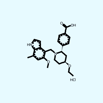 CCO[C@H]1CCN(Cc2c(OC)cc(C)c3[nH]ccc23)[C@H](c2ccc(C(=O)O)cc2)C1.Cl